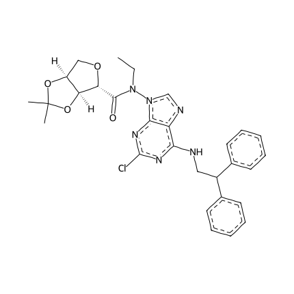 CCN(C(=O)[C@H]1OC[C@@H]2OC(C)(C)O[C@@H]21)n1cnc2c(NCC(c3ccccc3)c3ccccc3)nc(Cl)nc21